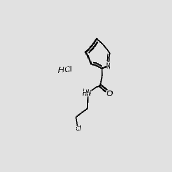 Cl.O=C(NCCCl)c1ccccn1